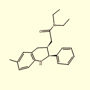 CCN(CC)C(=O)C[C@@H]1Cc2cc(C)ccc2N[C@@H]1c1ccccc1